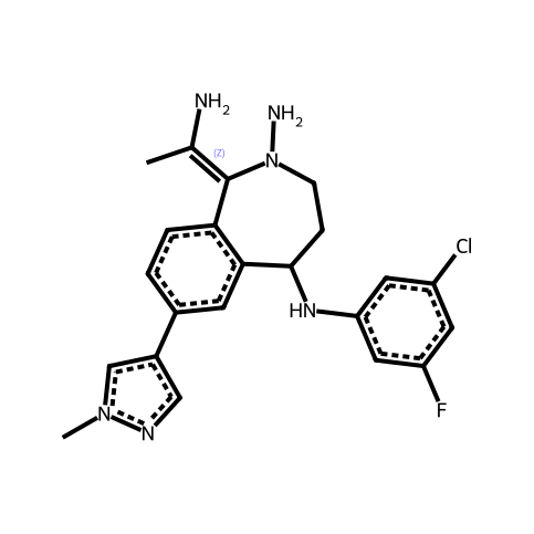 C/C(N)=C1\c2ccc(-c3cnn(C)c3)cc2C(Nc2cc(F)cc(Cl)c2)CCN1N